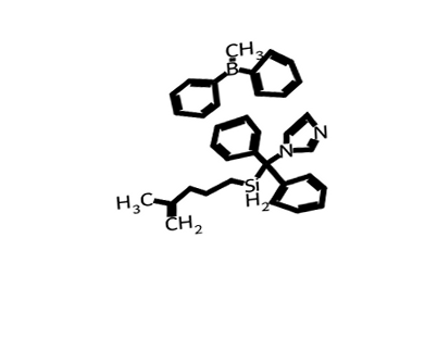 C=C(C)CCC[SiH2]C(c1ccccc1)(c1ccccc1)n1ccnc1.CB(c1ccccc1)c1ccccc1